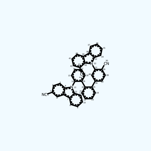 N#Cc1ccc2c(c1)c1ccccc1n2-c1ccccc1-c1ccccc1-c1ccc(C#N)c(-n2c3ccccc3c3cccc(C#N)c32)c1